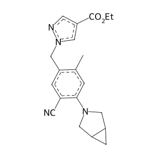 CCOC(=O)c1cnn(Cc2cc(C#N)c(N3CC4CC4C3)cc2C)c1